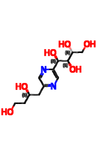 OCC[C@@H](O)Cc1cnc([C@@H](O)[C@H](O)[C@H](O)CO)cn1